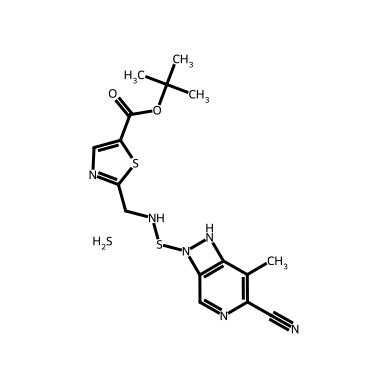 Cc1c(C#N)ncc2c1[nH]n2SNCc1ncc(C(=O)OC(C)(C)C)s1.S